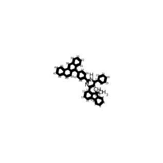 CC1(C)c2ccccc2-c2cccc(C3=CC(c4ccccc4)NC(c4ccc(-c5c6ccccc6cc6c5ccc5ccccc56)cc4)=N3)c21